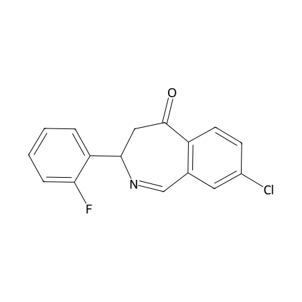 O=C1CC(c2ccccc2F)N=Cc2cc(Cl)ccc21